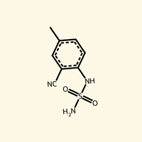 Cc1ccc(NS(N)(=O)=O)c(C#N)c1